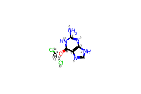 Nc1nc2[nH]cnc2c(=O)[nH]1.[Cl][Mg][Cl]